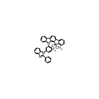 CC1(C)c2ccccc2-c2ccc3c4ccccc4n(-c4cccc(-n5c(-c6ccccc6)nc6ccccc65)c4)c3c21